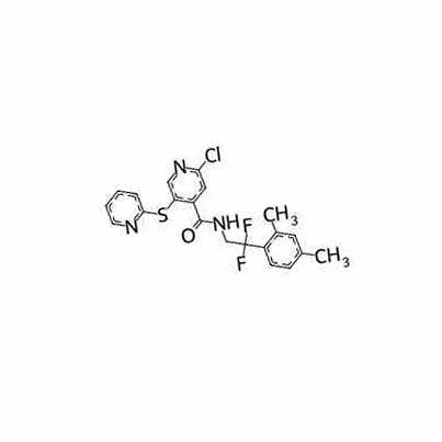 Cc1ccc(C(F)(F)CNC(=O)c2cc(Cl)ncc2Sc2ccccn2)c(C)c1